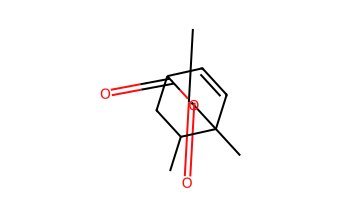 CC1CC2C=CC1(C)C(=O)OC2=O